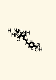 Nc1nc2[nH]cc(CCCc3ccc(C(=O)O)cc3)c2c(=O)[nH]1